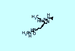 CCCNc1nc(NC2CC2)ncc1C#CCCCNC(=O)CNC